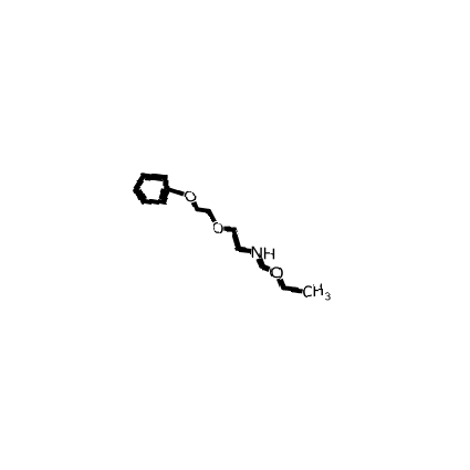 CCOCNCCOCCOc1ccccc1